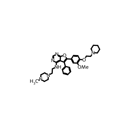 COc1cc(-c2oc3ncnc(NCCN4CCN(C)CC4)c3c2-c2ccccc2)ccc1OCCN1CCCCC1